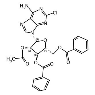 CC(=O)O[C@H]1[C@H](OC(=O)c2ccccc2)[C@@H](COC(=O)c2ccccc2)O[C@H]1n1cnc2c(N)nc(Cl)nc21